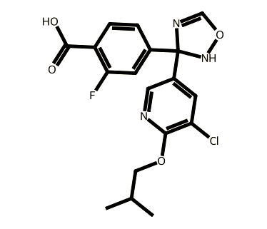 CC(C)COc1ncc(C2(c3ccc(C(=O)O)c(F)c3)N=CON2)cc1Cl